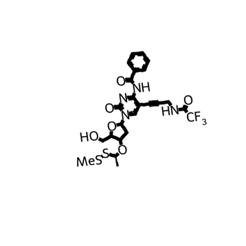 CSS[C@H](C)OC1CC(n2cc(C#CCNC(=O)C(F)(F)F)c(NC(=O)c3ccccc3)nc2=O)OC1CO